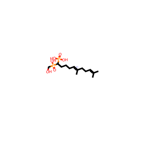 CC(C)=CCC/C(C)=C/CCCC(P(=O)(O)O)P(=O)(O)CO